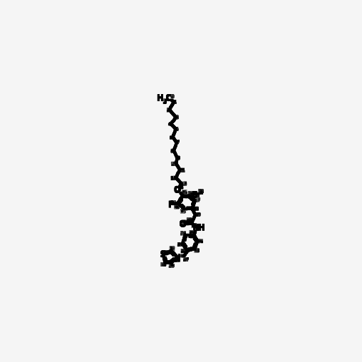 CCCCCCCCCCCCCCOc1ccc(CC(=O)Nc2ccc(C[n+]3ccsc3)cc2)cc1F.[Br-]